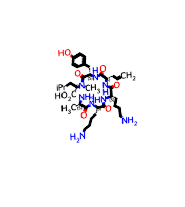 C=CC[C@H](NC(=O)[C@H](CCCCN)NC(=O)[C@H](CCCCN)NC(=O)[C@H](C)N)C(=O)N[C@@H](Cc1ccc(O)cc1)C(=O)N(C)[C@@H](CC(C)C)C(=O)O